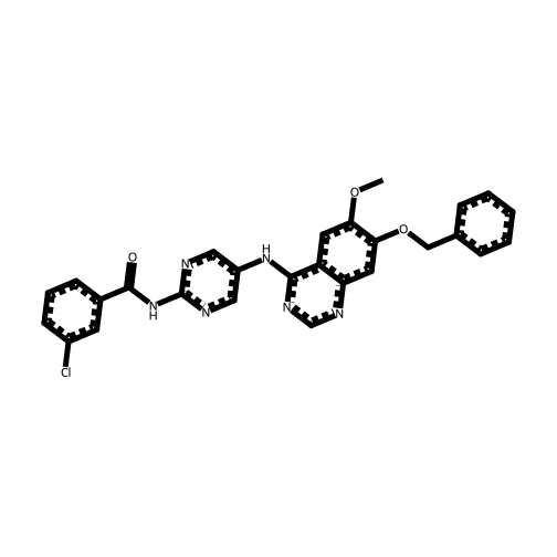 COc1cc2c(Nc3cnc(NC(=O)c4cccc(Cl)c4)nc3)ncnc2cc1OCc1ccccc1